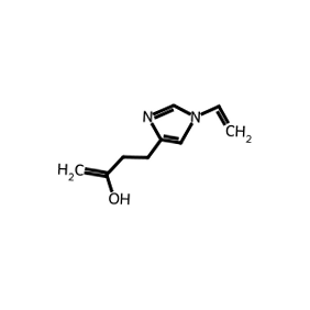 C=Cn1cnc(CCC(=C)O)c1